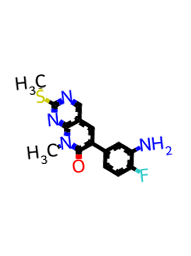 CSc1ncc2cc(-c3ccc(F)c(N)c3)c(=O)n(C)c2n1